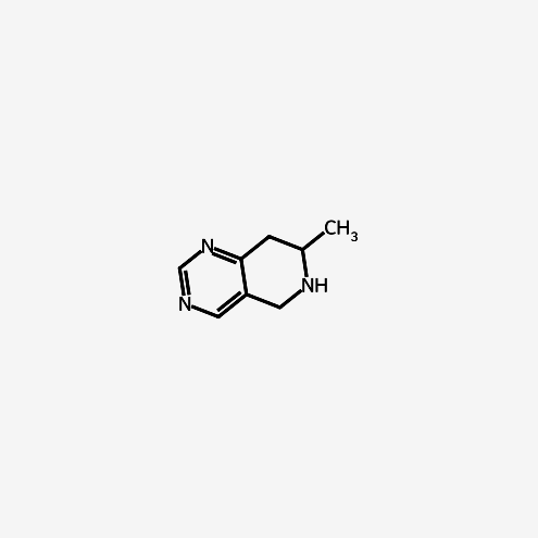 CC1Cc2ncncc2CN1